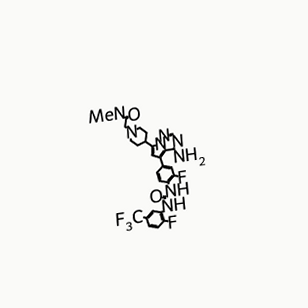 CNC(=O)CN1CCC(c2cc(-c3ccc(NC(=O)Nc4cc(C(F)(F)F)ccc4F)c(F)c3)c3c(N)ncnn23)CC1